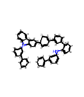 C1=CC(c2cccc(Nc3ccccc3-c3cccc(C4=CCC(c5ccc6c(c5)c5ccccc5n6-c5cccc(-c6ccccc6)c5)C=C4)c3)c2)=CCC1